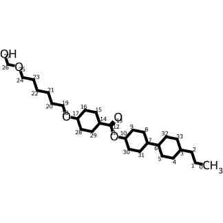 CCCC1CCC(C2CCC(OC(=O)C3CCC(OCCCCCCOCO)CC3)CC2)CC1